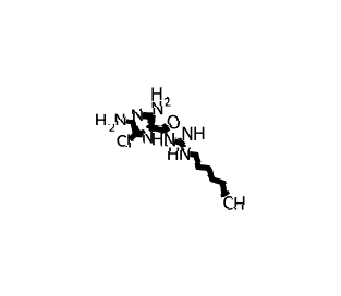 C#CCCCCCNC(=N)NC(=O)c1nc(Cl)c(N)nc1N